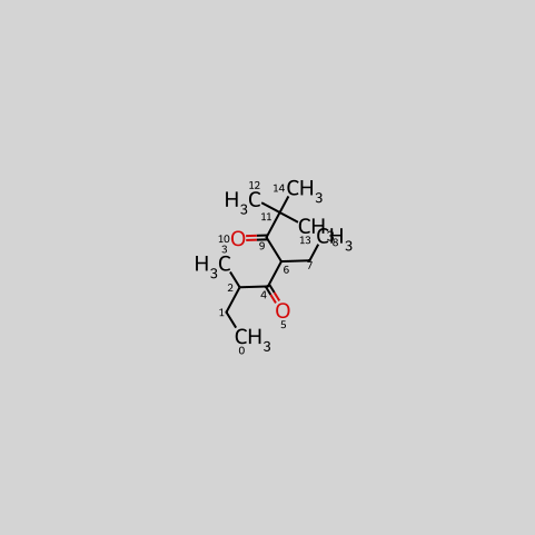 CCC(C)C(=O)C(CC)C(=O)C(C)(C)C